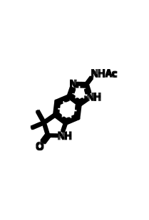 CC(=O)Nc1nc2cc3c(cc2[nH]1)NC(=O)C3(C)C